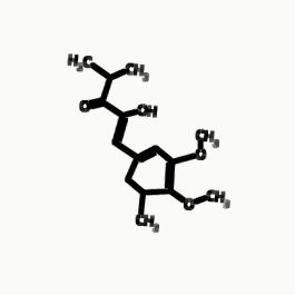 COC1=C(OC)C(C)CC(/C=C(\O)C(=O)C(C)C)=C1